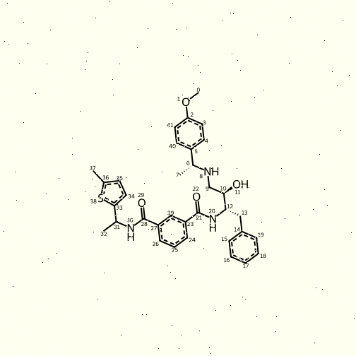 COc1ccc([C@@H](C)NC[C@@H](O)[C@H](Cc2ccccc2)NC(=O)c2cccc(C(=O)NC(C)c3ccc(C)s3)c2)cc1